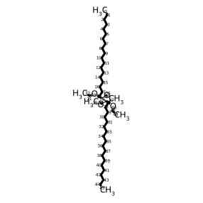 CCCCCCCCCCCCCCCCCCC(C)(OCC)S(=O)(=O)C(C)(CCCCCCCCCCCCCCCCCC)OCC